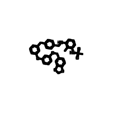 Cc1c(NCc2ccc(Cc3cccc(Oc4cccc(OCc5ccc6c(c5)OCO6)c4)c3)cc2)cccc1NS(C)(=O)=O